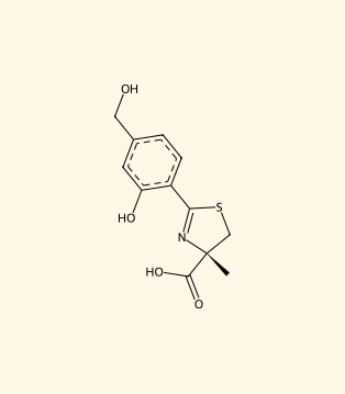 C[C@]1(C(=O)O)CSC(c2ccc(CO)cc2O)=N1